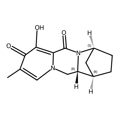 Cc1cn2c(c(O)c1=O)C(=O)N1[C@H]3CC[C@H](C3)[C@@H]1C2